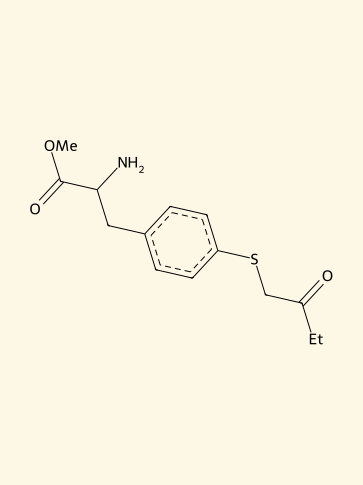 CCC(=O)CSc1ccc(CC(N)C(=O)OC)cc1